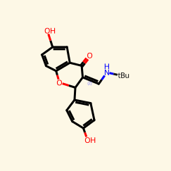 CC(C)(C)N/C=C1\C(=O)c2cc(O)ccc2OC1c1ccc(O)cc1